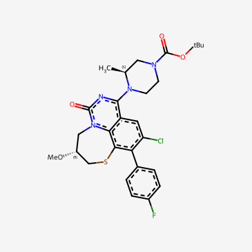 CO[C@H]1CSc2c(-c3ccc(F)cc3)c(Cl)cc3c(N4CCN(C(=O)OC(C)(C)C)C[C@@H]4C)nc(=O)n(c23)C1